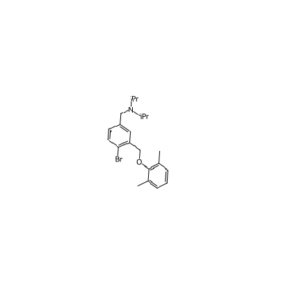 Cc1cccc(C)c1OCc1cc(CN(C(C)C)C(C)C)ccc1Br